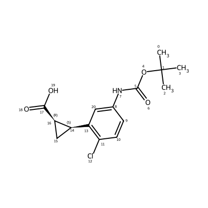 CC(C)(C)OC(=O)Nc1ccc(Cl)c([C@H]2C[C@H]2C(=O)O)c1